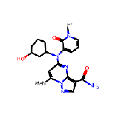 CNc1cc(N(c2cccn(C(C)C)c2=O)C2CCCC(O)C2)nc2c(C(N)=O)cnn12